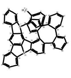 Cc1ccccc1-n1c2ccccc2c2cc3c4ccccc4n4c5ccc6c(c5c(c21)c34)-c1ccccc1-c1ccccc1-c1ccccc1-6